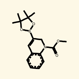 COC(=O)N1CC(B2OC(C)(C)C(C)(C)O2)=Cc2ccccc21